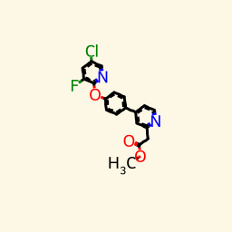 COC(=O)Cc1cc(-c2ccc(Oc3ncc(Cl)cc3F)cc2)ccn1